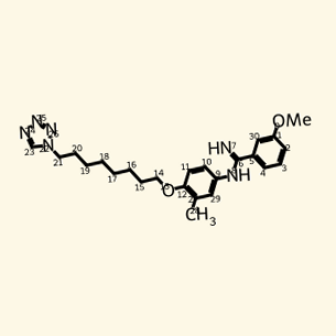 COc1cccc(C(=N)Nc2ccc(OCCCCCCCCn3cnnn3)c(C)c2)c1